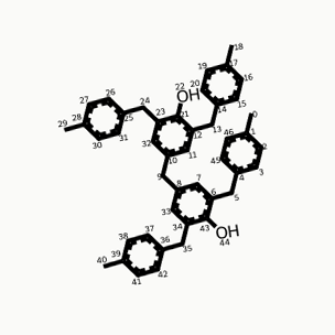 Cc1ccc(Cc2cc(Cc3cc(Cc4ccc(C)cc4)c(O)c(Cc4ccc(C)cc4)c3)cc(Cc3ccc(C)cc3)c2O)cc1